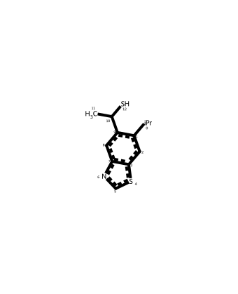 CC(C)c1cc2scnc2cc1C(C)S